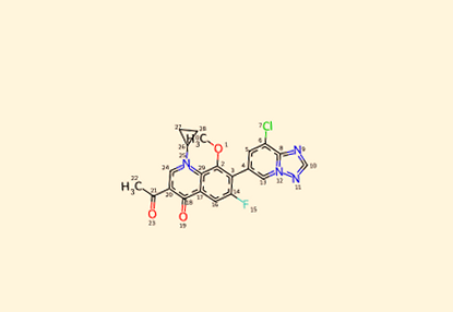 COc1c(-c2cc(Cl)c3ncnn3c2)c(F)cc2c(=O)c(C(C)=O)cn(C3CC3)c12